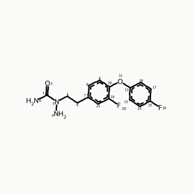 NC(=O)N(N)CCc1ccc(Oc2ccc(F)cc2)c(F)c1